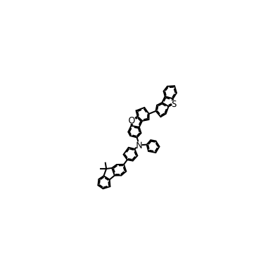 CC1(C)c2ccccc2-c2ccc(-c3ccc(N(c4ccccc4)c4ccc5oc6ccc(-c7ccc8sc9ccccc9c8c7)cc6c5c4)cc3)cc21